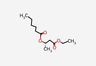 CCCCCC(=O)O[C@@H](C)CC(=O)OCC